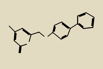 Cc1cc(COc2ccc(-c3ccccc3)cc2)oc(=O)c1